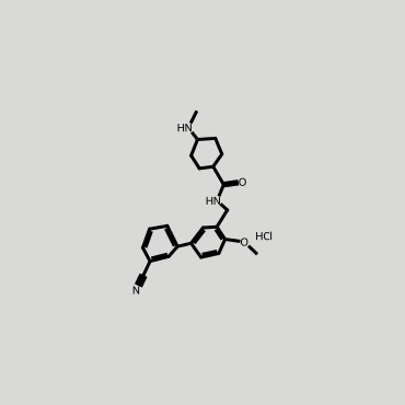 CNC1CCC(C(=O)NCc2cc(-c3cccc(C#N)c3)ccc2OC)CC1.Cl